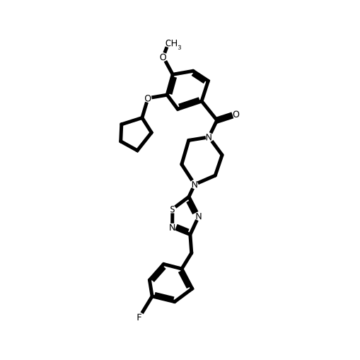 COc1ccc(C(=O)N2CCN(c3nc(Cc4ccc(F)cc4)ns3)CC2)cc1OC1CCCC1